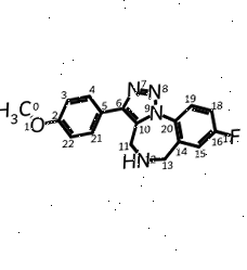 COc1ccc(-c2nnn3c2CNCc2cc(F)ccc2-3)cc1